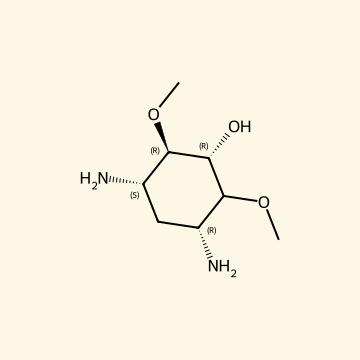 COC1[C@H](N)C[C@H](N)[C@@H](OC)[C@@H]1O